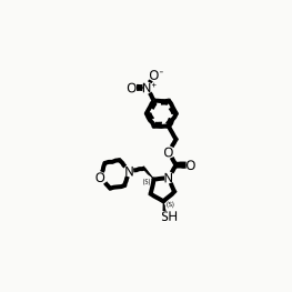 O=C(OCc1ccc([N+](=O)[O-])cc1)N1C[C@@H](S)C[C@H]1CN1CCOCC1